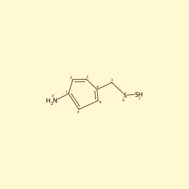 Nc1ccc(CSS)cc1